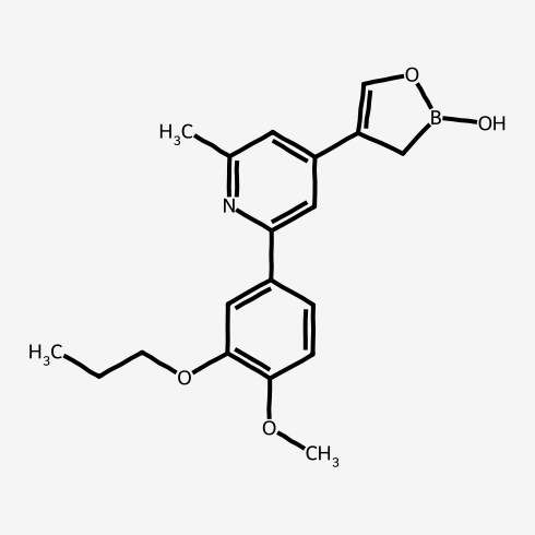 CCCOc1cc(-c2cc(C3=COB(O)C3)cc(C)n2)ccc1OC